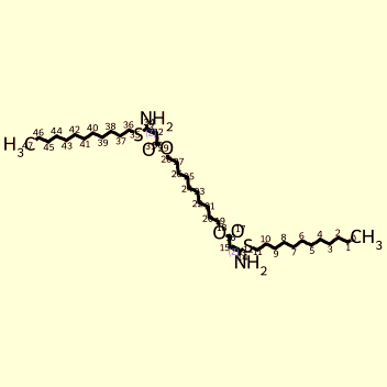 CCCCCCCCCCCCS/C(N)=C\C(=O)OCCCCCCCCCCOC(=O)/C=C(/N)SCCCCCCCCCCCC